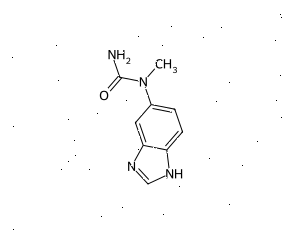 CN(C(N)=O)c1ccc2[nH]cnc2c1